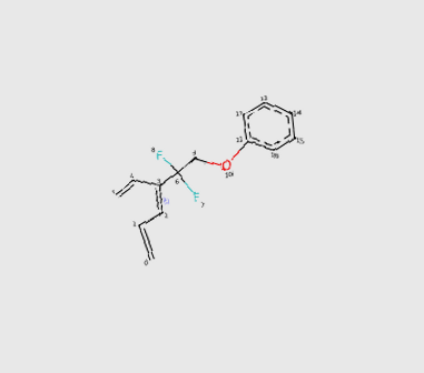 C=C/C=C(\C=C)C(F)(F)COc1ccccc1